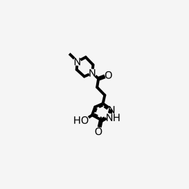 CN1CCN(C(=O)CCc2cc(O)c(=O)[nH]n2)CC1